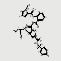 CCOC(=O)n1nc(NC(=O)c2ccccc2NC(=O)c2cccn2C)c2oc(C(=O)NC(C)(C)c3ccccc3)cc21